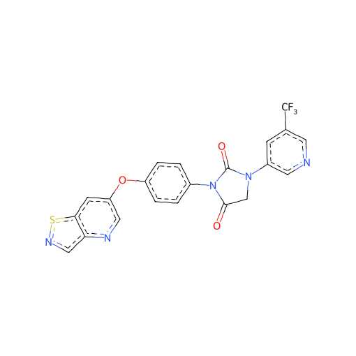 O=C1CN(c2cncc(C(F)(F)F)c2)C(=O)N1c1ccc(Oc2cnc3cnsc3c2)cc1